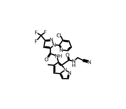 Cc1cc2ccnn2c(C(=O)NCC#N)c1NC(=O)c1cc(C(F)(F)F)nn1-c1ncccc1Cl